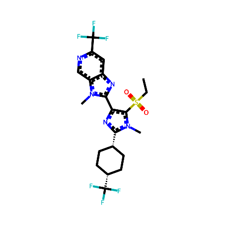 CCS(=O)(=O)c1c(-c2nc3cc(C(F)(F)F)ncc3n2C)nc([C@H]2CC[C@@H](C(F)(F)F)CC2)n1C